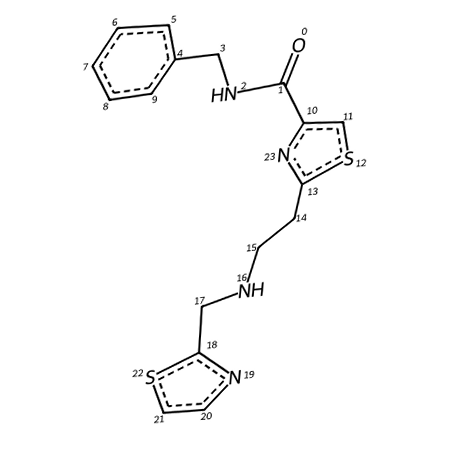 O=C(NCc1ccccc1)c1csc(CCNCc2nccs2)n1